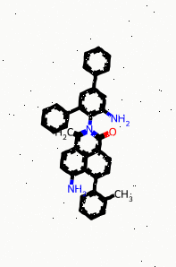 C=c1c2ccc(N)c3c(-c4ccccc4C)ccc(c(=O)n1-c1c(N)cc(-c4ccccc4)cc1-c1ccccc1)c32